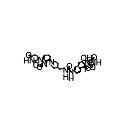 Cn1c(=O)n(C2CCC(=O)NC2=O)c2cccc(N3CCC(CCNC(=O)Nc4ccc5c(F)c(N6CC(=O)NS6(=O)=O)c(O)cc5c4)CC3)c21